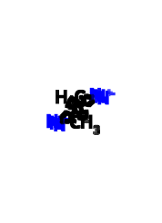 Cc1cc(N=[N+]=[N-])ccc1-c1c2ccccc2c(-c2ccc(N=[N+]=[N-])cc2C)c2ccccc12